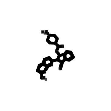 Cc1ccc2ccc(N3C(=O)c4ccccc4C3OC(=O)N3CCN(C)CC3)nc2n1